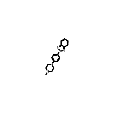 CN1CCN(c2ccc(-n3nc4ccccc4n3)cc2)CC1